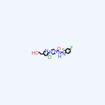 O=C(Nc1nc2ccc(F)cc2s1)N1CCN(c2ncc(CCO)cc2Cl)CC1